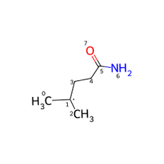 C[C](C)CCC(N)=O